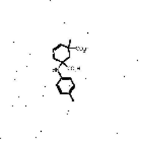 Cc1ccc(NC2(C(=O)O)CC=CC(C)(C(=O)O)C2)cc1